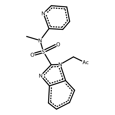 CC(=O)Cn1c(S(=O)(=O)N(C)c2ccccn2)nc2ccccc21